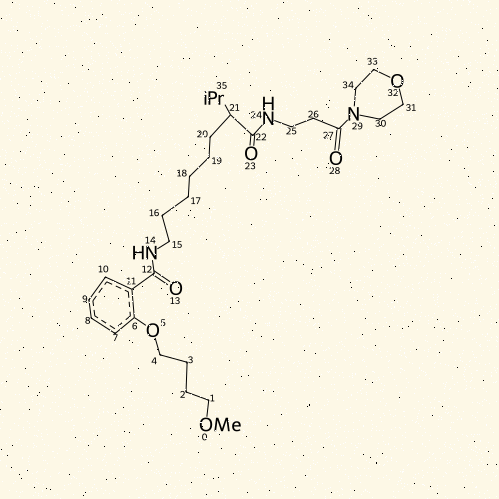 COCCCCOc1ccccc1C(=O)NCCCCCCC(C(=O)NCCC(=O)N1CCOCC1)C(C)C